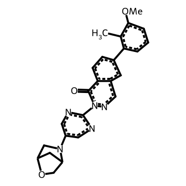 COc1cccc(-c2ccc3c(=O)n(-c4ncc(N5CC6CC5CO6)cn4)ncc3c2)c1C